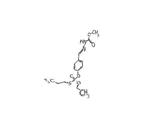 CCCSP(=O)(OCC)Oc1ccc(C=NNC(=O)OC)cc1